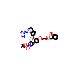 CNCCN1CCCc2ccc(CO[C@H]3CN(C(=O)OC(C)(C)C)CC[C@@H]3c3ccc(OCCCOCc4ccccc4OC)cc3)cc21